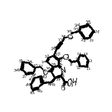 O=C(O)c1nc2c(OCc3ccccc3)c(C#CCOCc3ccccc3)ccc2c(OCc2ccccc2)c1Cc1ccccc1